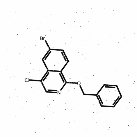 Clc1cnc(OCc2ccccc2)c2ccc(Br)cc12